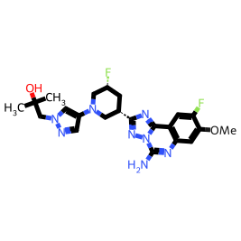 COc1cc2nc(N)n3nc([C@H]4C[C@@H](F)CN(c5cnn(CC(C)(C)O)c5)C4)nc3c2cc1F